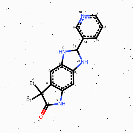 CCC1(CC)C(=O)Nc2cc3c(cc21)NC(c1cccnc1)N3